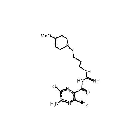 COC1CCN(CCCCNC(=N)NC(=O)c2nc(Cl)c(N)nc2N)CC1